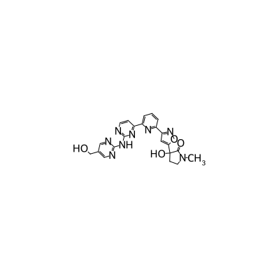 CN1CCC(O)(c2cc(-c3cccc(-c4ccnc(Nc5ncc(CO)cn5)n4)n3)no2)C1=O